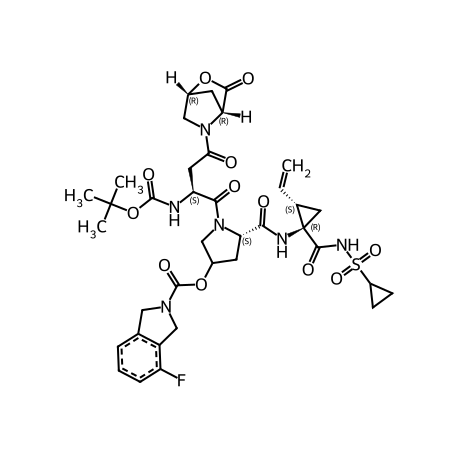 C=C[C@@H]1C[C@]1(NC(=O)[C@@H]1CC(OC(=O)N2Cc3cccc(F)c3C2)CN1C(=O)[C@H](CC(=O)N1C[C@H]2C[C@@H]1C(=O)O2)NC(=O)OC(C)(C)C)C(=O)NS(=O)(=O)C1CC1